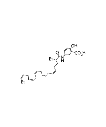 CC/C=C\C/C=C\C/C=C\C/C=C\C/C=C\CCC(CC)C(=O)Nc1ccc(O)c(C(=O)O)c1